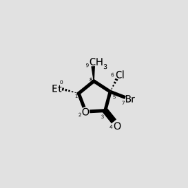 CC[C@H]1OC(=O)[C@](Cl)(Br)[C@@H]1C